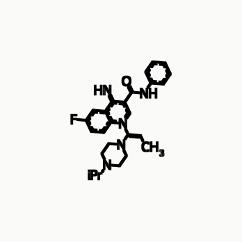 CC=C(N1CCN(C(C)C)CC1)n1cc(C(=O)Nc2ccccc2)c(=N)c2cc(F)ccc21